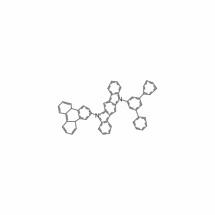 C1=CC2=C3C=CC=CC3c3cc(-n4c5ccccc5c5cc6c(cc54)c4ccccc4n6-c4cc(-c5ccccc5)cc(-c5ccccc5)c4)ccc3C2C=C1